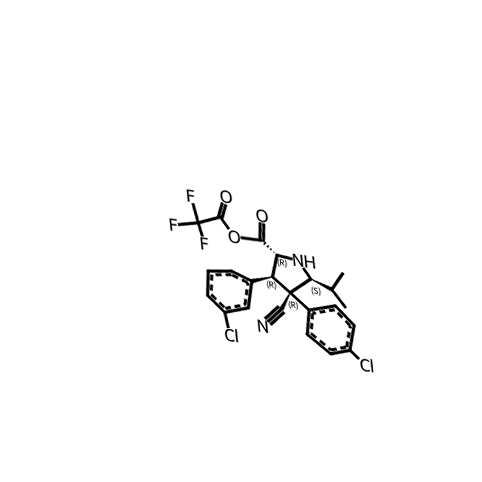 CC(C)[C@@H]1N[C@@H](C(=O)OC(=O)C(F)(F)F)[C@H](c2cccc(Cl)c2)[C@@]1(C#N)c1ccc(Cl)cc1